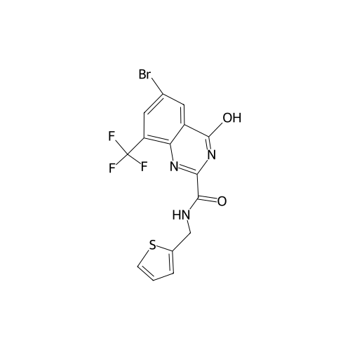 O=C(NCc1cccs1)c1nc(O)c2cc(Br)cc(C(F)(F)F)c2n1